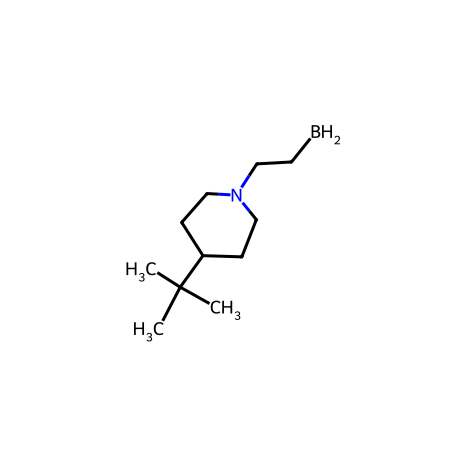 BCCN1CCC(C(C)(C)C)CC1